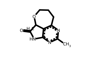 Cc1nc2c3c(n1)NC(=O)C3(C)OCCC2